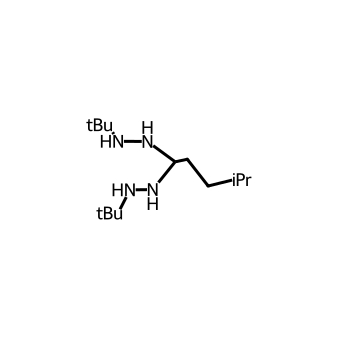 CC(C)CCC(NNC(C)(C)C)NNC(C)(C)C